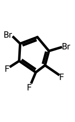 Fc1c(Br)cc(Br)c(F)c1F